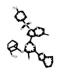 Cc1ccc(S(=O)(=O)n2cc(-c3nc(NC4C5CCC(CC5)C4C(=O)O)c(F)c(-c4cc5ccccc5s4)n3)c3cc(F)cnc32)cc1